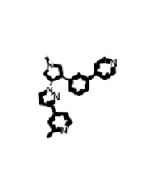 Cc1cc(-c2ccn([C@@H]3CN(C)C[C@H]3c3cccc(-c4ccncc4)c3)n2)ccn1